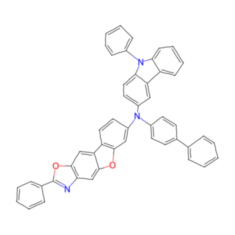 c1ccc(-c2ccc(N(c3ccc4c(c3)oc3cc5nc(-c6ccccc6)oc5cc34)c3ccc4c(c3)c3ccccc3n4-c3ccccc3)cc2)cc1